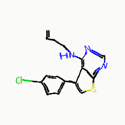 C=CCNc1ncnc2scc(-c3ccc(Cl)cc3)c12